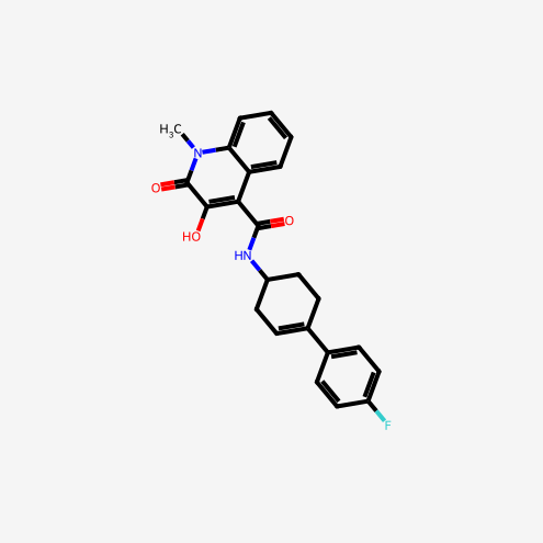 Cn1c(=O)c(O)c(C(=O)NC2CC=C(c3ccc(F)cc3)CC2)c2ccccc21